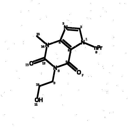 CCCn1cnc2c1c(=O)n(CCO)c(=O)n2C